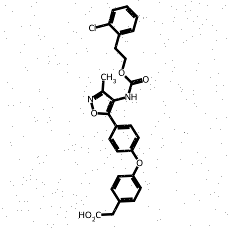 Cc1noc(-c2ccc(Oc3ccc(CC(=O)O)cc3)cc2)c1NC(=O)OCCc1ccccc1Cl